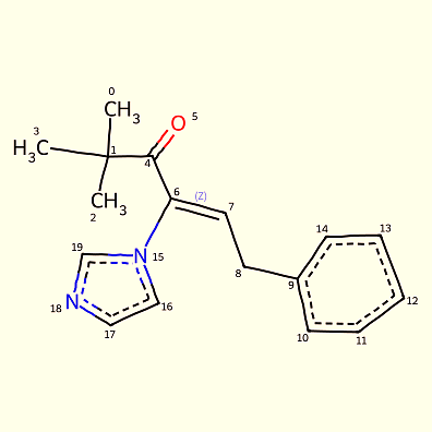 CC(C)(C)C(=O)/C(=C/Cc1ccccc1)n1ccnc1